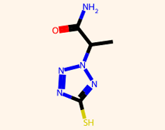 CC(C(N)=O)n1nnc(S)n1